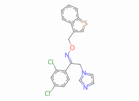 Clc1ccc(/C(Cn2ccnc2)=N/OCc2csc3ccccc23)c(Cl)c1